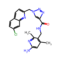 Cc1cc(N)nc(C)c1CNC(=O)c1cn(Cc2ccc3ccc(Cl)cc3n2)nn1